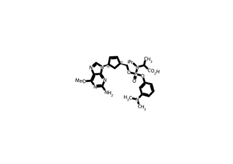 COc1nc(N)nc2c1ncn2[C@H]1C=C[C@@H](COP(=O)(Oc2cccc(N(C)C)c2)N(C(C)C)C(C)C(=O)O)C1